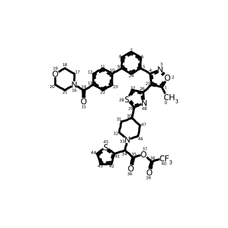 Cc1onc(-c2cccc(-c3ccc(C(=O)N4CCOCC4)cc3)c2)c1-c1csc(C2CCN(C(C(=O)OC(=O)C(F)(F)F)c3cccs3)CC2)n1